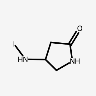 O=C1CC(NI)CN1